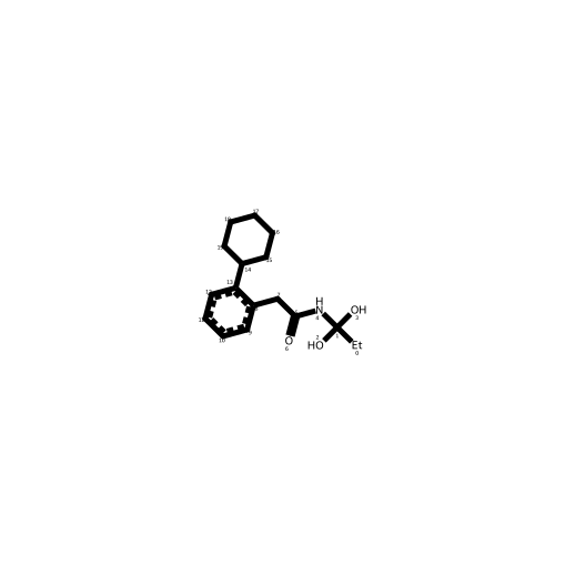 CCC(O)(O)NC(=O)Cc1ccc[c]c1C1CCCCC1